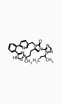 CCCCc1cn(-c2ncnn2C(C)CC)c(=O)n1Cc1ccc(-c2ccccc2-c2nnn[nH]2)nc1